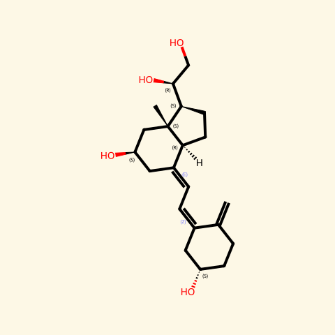 C=C1CC[C@H](O)C/C1=C/C=C1\C[C@@H](O)C[C@]2(C)[C@@H]([C@@H](O)CO)CC[C@@H]12